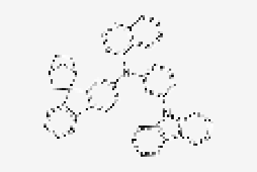 c1cc(N(c2ccc3c(c2)C2(CC4CCC2C4)c2ccccc2-3)c2cccc3ccccc23)cc(-n2c3ccccc3c3ccccc32)c1